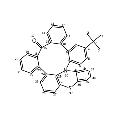 CC(C)(C)c1ccc2c(c1)c1ccccc1c(=O)c1ccccc1c1cccc3c1n2-c1ccccc1S3